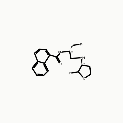 CC(C)C[C@H](CN[C@H]1CCOC1O)NC(=O)c1cccc2ccccc12